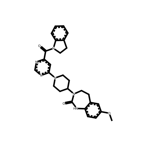 COc1ccc2c(c1)CCN(C1CCN(c3cc(C(=O)N4CCc5ccccc54)ncn3)CC1)C(=O)N2